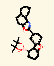 CC1(C)OB(c2cccc3oc4ccc(-c5nc6c(ccc7ccccc76)o5)cc4c23)OC1(C)C